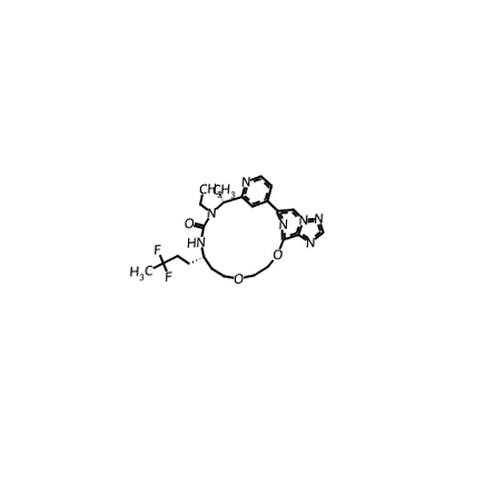 CCN1C(=O)N[C@@H](CCC(C)(F)F)CCOCCOc2nc(cn3ncnc23)-c2ccnc(c2)[C@H]1C